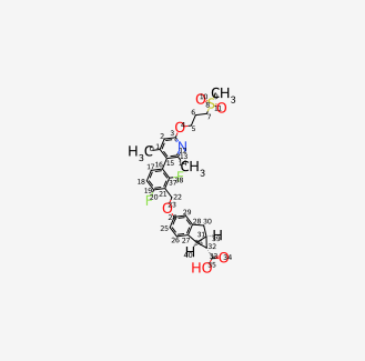 Cc1cc(OCCCS(C)(=O)=O)nc(C)c1-c1ccc(F)c(COc2ccc3c(c2)C[C@H]2[C@H](C(=O)O)[C@@H]32)c1F